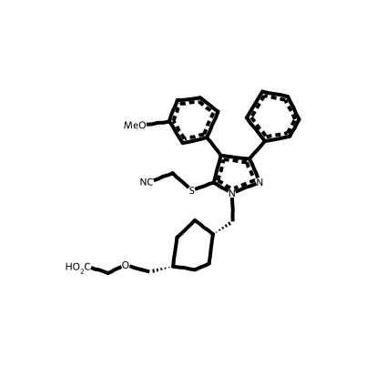 COc1cccc(-c2c(-c3ccccc3)nn(C[C@H]3CC[C@@H](COCC(=O)O)CC3)c2SCC#N)c1